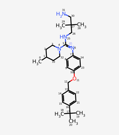 CC1CCN(/C(=N\c2ccc(OCc3ccc(C(C)(C)C)cc3)cc2)NCC(C)(C)CN)CC1